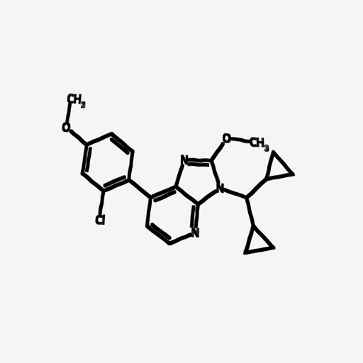 COc1ccc(-c2ccnc3c2nc(OC)n3C(C2CC2)C2CC2)c(Cl)c1